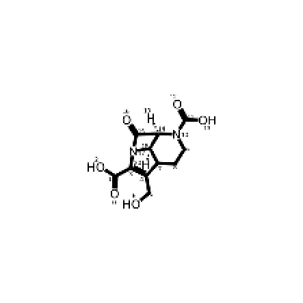 O=C(O)C1=C(CO)C2CCN(C(=O)O)[C@@H]3C(=O)N1[C@H]23